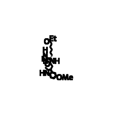 CCC(=O)CCCCC[C@H](NC(=O)Cc1c(C)[nH]c2ccc(OC)cc12)C1=[N+]C=CN1